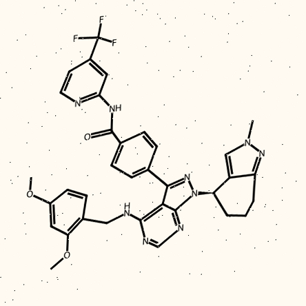 COc1ccc(CNc2ncnc3c2c(-c2ccc(C(=O)Nc4cc(C(F)(F)F)ccn4)cc2)nn3[C@@H]2CCCc3nn(C)cc32)c(OC)c1